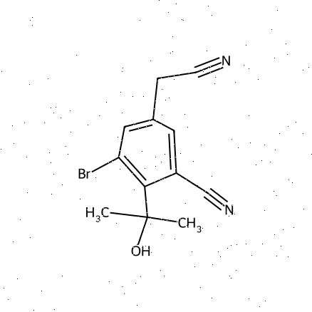 CC(C)(O)c1c(Br)cc(CC#N)cc1C#N